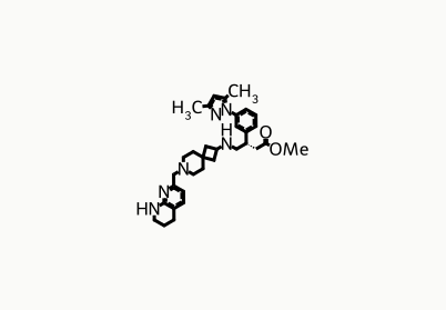 COC(=O)C[C@H](CNC1CC2(CCN(Cc3ccc4c(n3)NCCC4)CC2)C1)c1cccc(-n2nc(C)cc2C)c1